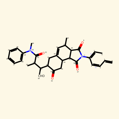 C=C/C=C\C(=C/C)N1C(=O)C2C(C)C=C3CC(C(C=O)C(C)C(=O)N(C)c4ccccc4)C(=O)CC3C2C1=O